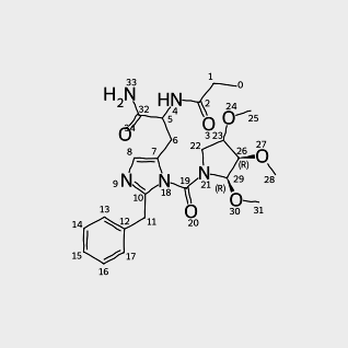 CCC(=O)NC(Cc1cnc(Cc2ccccc2)n1C(=O)N1CC(OC)[C@@H](OC)[C@H]1OC)C(N)=O